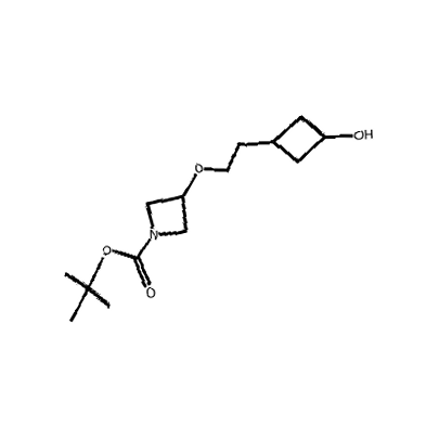 CC(C)(C)OC(=O)N1CC(OCCC2CC(O)C2)C1